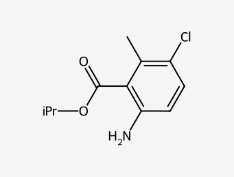 Cc1c(Cl)ccc(N)c1C(=O)OC(C)C